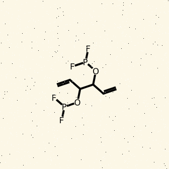 C=CC(OP(F)F)C(C=C)OP(F)F